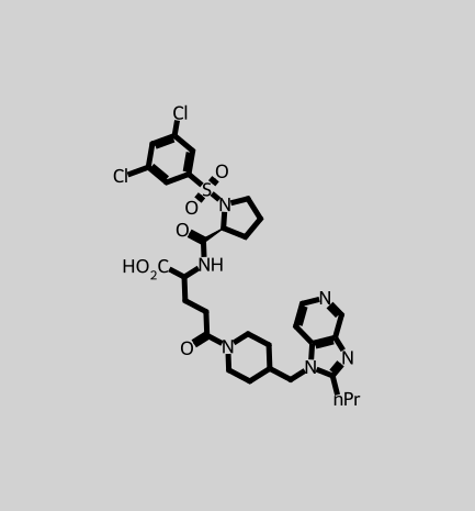 CCCc1nc2cnccc2n1CC1CCN(C(=O)CCC(NC(=O)[C@@H]2CCCN2S(=O)(=O)c2cc(Cl)cc(Cl)c2)C(=O)O)CC1